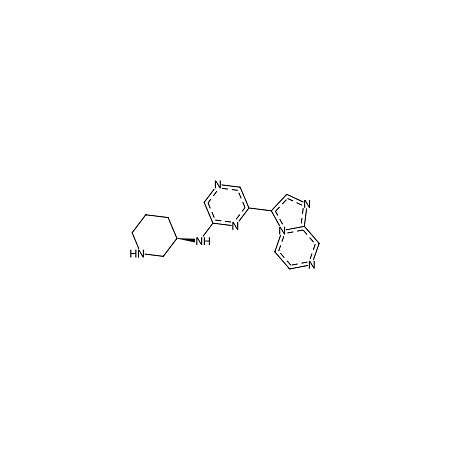 c1cn2c(-c3cncc(N[C@@H]4CCCNC4)n3)cnc2cn1